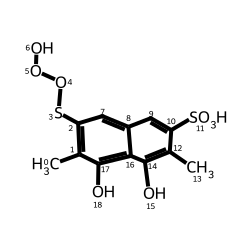 Cc1c(SOOO)cc2cc(S(=O)(=O)O)c(C)c(O)c2c1O